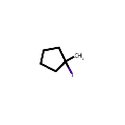 CC1(I)CCCC1